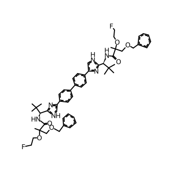 CC(COCc1ccccc1)(OCCF)C(=O)N[C@H](c1nc(-c2ccc(-c3ccc(-c4c[nH]c([C@@H](NC(=O)C(C)(COCc5ccccc5)OCCF)C(C)(C)C)n4)cc3)cc2)c[nH]1)C(C)(C)C